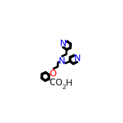 O=C(O)c1ccccc1OCCCN(CCc1cccnc1)Cc1ccncc1